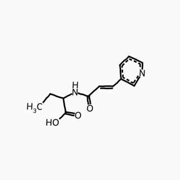 CCC(NC(=O)C=Cc1cccnc1)C(=O)O